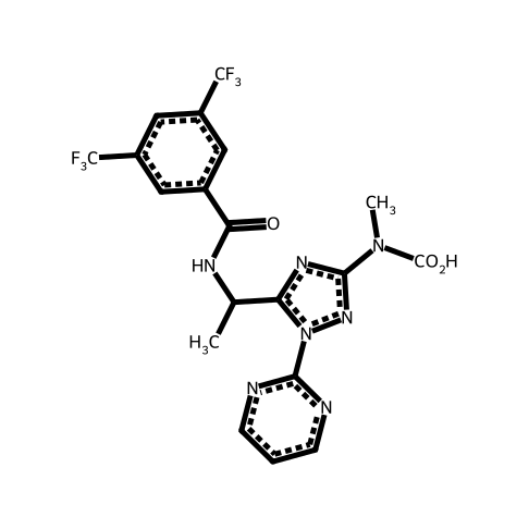 CC(NC(=O)c1cc(C(F)(F)F)cc(C(F)(F)F)c1)c1nc(N(C)C(=O)O)nn1-c1ncccn1